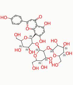 O=c1cc(-c2ccc(O)cc2)oc2c([C@@H]3OC(CO)[C@@H](O)[C@H](O)C3O[C@@H]3OC(CO)[C@@H](O)[C@H](O)C3O[C@@H]3OC(CO)[C@@H](O)[C@H](O)C3O)c(O)cc(O)c12